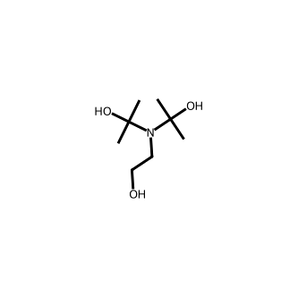 CC(C)(O)N(CCO)C(C)(C)O